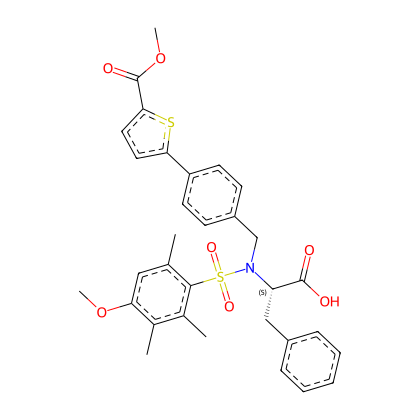 COC(=O)c1ccc(-c2ccc(CN([C@@H](Cc3ccccc3)C(=O)O)S(=O)(=O)c3c(C)cc(OC)c(C)c3C)cc2)s1